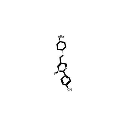 CCCC[C@H]1CC[C@H](CCC2=CN(F)C(c3ccc(C#N)cc3)N=C2)CC1